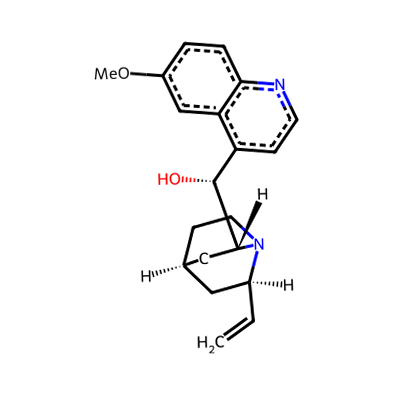 C=C[C@H]1C[C@H]2CCN1[C@@H]([C@H](O)c1ccnc3ccc(OC)cc13)C2